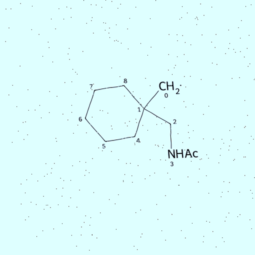 [CH2]C1(CNC(C)=O)CCCCC1